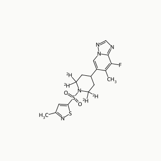 [2H]C1([2H])CC(c2cn3ncnc3c(F)c2C)CC([2H])([2H])N1S(=O)(=O)c1cc(C)ns1